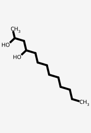 CCCCCCCCCC(O)CC(C)O